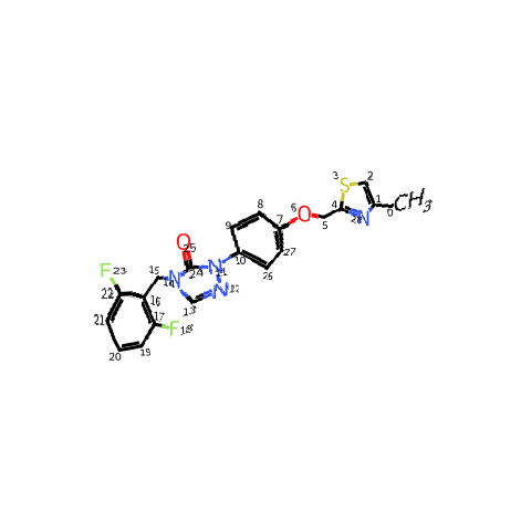 Cc1csc(COc2ccc(-n3ncn(Cc4c(F)cccc4F)c3=O)cc2)n1